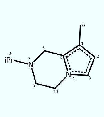 Cc1ccn2c1CN(C(C)C)CC2